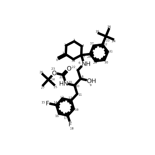 C=C1CCCC(NCC(O)C(Cc2cc(F)cc(F)c2)NC(=O)OC(C)(C)C)(c2cccc(C(C)(C)C)c2)C1